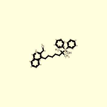 CC(C)(CCCCCc1c(CCl)ncc2ccccc12)[Si](O)(c1ccccc1)c1ccccc1